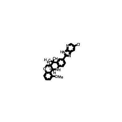 COc1cccc2c1[C@H]1Nc3ccc(-c4nc5cc(Cl)cnc5[nH]4)cc3C(C)(C)[C@H]1CO2